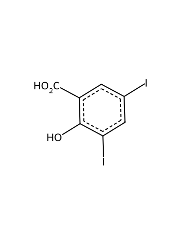 O=C(O)c1cc(I)cc(I)c1O